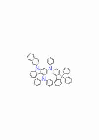 c1ccc(N(c2ccc3c(c2)-c2ccccc2C3(c2ccccc2)c2ccccc2)c2cc(N(c3ccccc3)c3ccccc3)c3c4ccccc4n(-c4ccc5ccccc5c4)c3c2)cc1